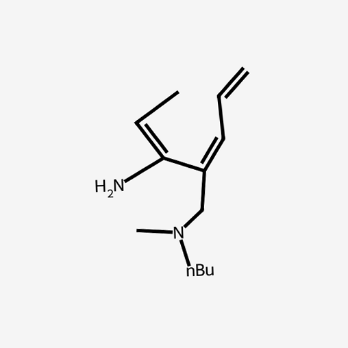 C=C/C=C(CN(C)CCCC)\C(N)=C/C